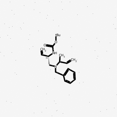 C=CC(C)N(Cc1ccccc1)C[C@H](C=C)NC(=O)OC(C)(C)C